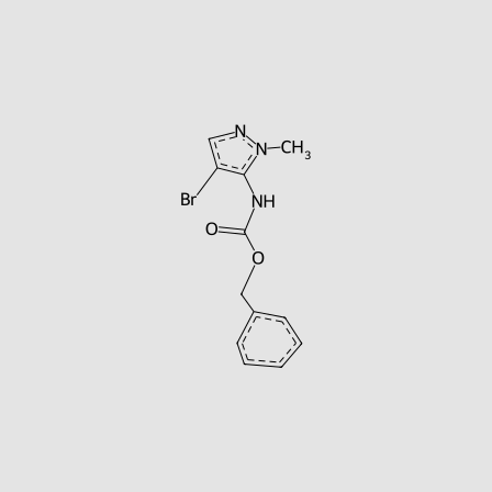 Cn1ncc(Br)c1NC(=O)OCc1ccccc1